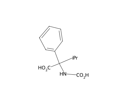 CC(C)C(NC(=O)O)(C(=O)O)c1ccccc1